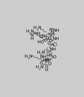 C[C@H](NC(=O)[C@@H](NC(=O)[C@@H](N)CCCCN)[C@@H](O)CN)C(=O)NCC(=O)N[C@H](CCCN)C(=O)N1CCC[C@H]1C(=O)N[C@@H](Cc1cnc[nH]1)C(=O)N[C@@H](CCCCN)C(=O)N/C(=C\CCNC(=N)N)C(=O)O